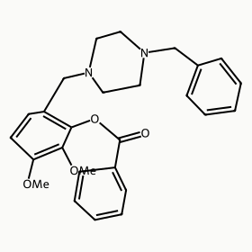 COc1ccc(CN2CCN(Cc3ccccc3)CC2)c(OC(=O)c2ccccc2)c1OC